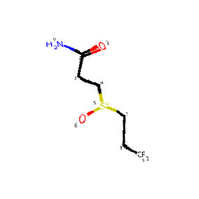 NC(=O)CC[S+]([O-])CCC(F)(F)F